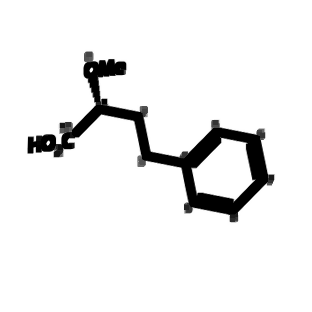 CO[C@H](CCc1ccccc1)C(=O)O